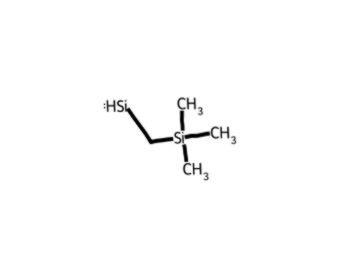 C[Si](C)(C)C[SiH]